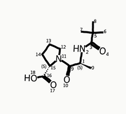 C[C@H](NC(=O)C(C)(C)C)C(=O)N1CCC[C@H]1C(=O)O